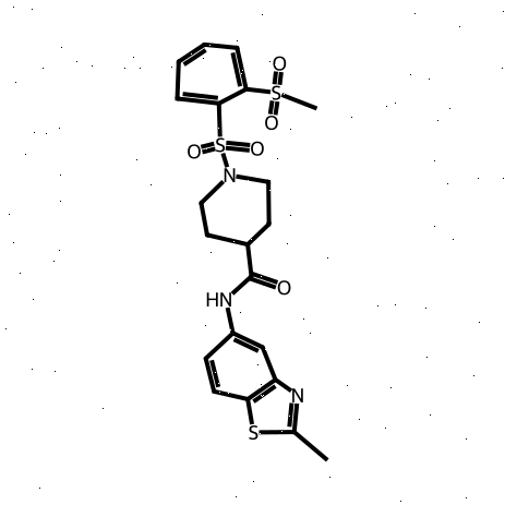 Cc1nc2cc(NC(=O)C3CCN(S(=O)(=O)c4ccccc4S(C)(=O)=O)CC3)ccc2s1